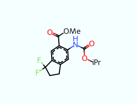 COC(=O)c1cc2c(cc1NC(=O)OC(C)C)CCC2(F)F